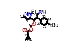 CCn1nc(C)cc1/C(OCOC(=O)C1CC1)=C(\C=N)c1ccc(C(C)(C)C)cc1